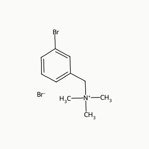 C[N+](C)(C)Cc1cccc(Br)c1.[Br-]